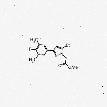 CCc1cc(-c2cc(C)c(F)c(C)c2)nn1CC(=O)OC